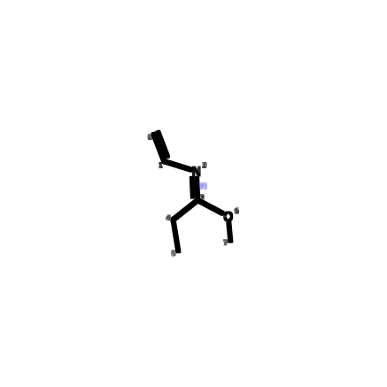 C=C/N=C(\CC)OC